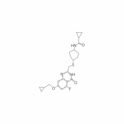 O=C(NC1CCC(SCc2nc3cc(OCC4CC4)cc(F)c3c(=O)[nH]2)CC1)C1CC1